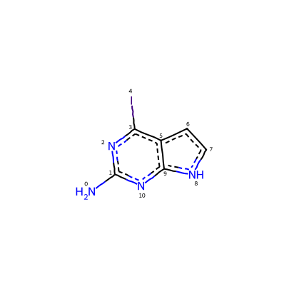 Nc1nc(I)c2cc[nH]c2n1